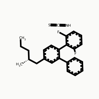 CCC[C@@H](C)Cc1ccc(-c2c(F)cccc2F)c(-c2ccccc2)c1.N=C=S